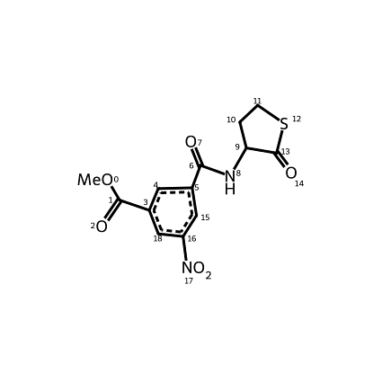 COC(=O)c1cc(C(=O)NC2CCSC2=O)cc([N+](=O)[O-])c1